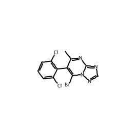 Cc1nc2ncnn2c(Br)c1-c1c(Cl)cccc1Cl